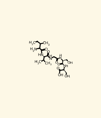 CCC(C)C(N)C(=O)N[C@H](C(=O)NCC(=O)N[C@@H](CO)C(=O)N[C@@H](CO)C(=O)O)C(C)C